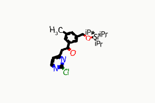 Cc1cc(CO[Si](C(C)C)(C(C)C)C(C)C)cc(C(=O)Cc2ccnc(Cl)n2)c1